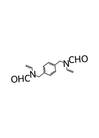 C=CN(C=O)Cc1ccc(CN(C=C)C=O)cc1